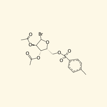 CC(=O)O[C@H]1[C@@H](COS(=O)(=O)c2ccc(C)cc2)OC(Br)[C@@H]1OC(C)=O